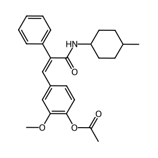 COc1cc(/C=C(\C(=O)NC2CCC(C)CC2)c2ccccc2)ccc1OC(C)=O